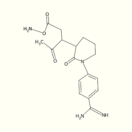 CC(=O)C(CC(=O)ON)C1CCCN(c2ccc(C(=N)N)cc2)C1=O